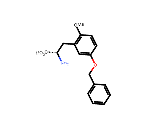 COc1ccc(OCc2ccccc2)cc1C[C@H](N)C(=O)O